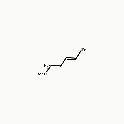 CO[SiH2]CC=CC(C)C